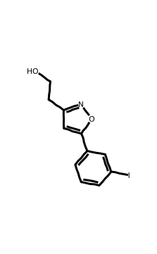 OCCc1cc(-c2cccc(I)c2)on1